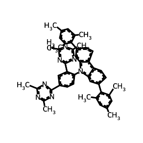 Cc1cc(C)c(-c2ccc3c4ccc(-c5c(C)cc(C)cc5C)cc4n(-c4ccc(-c5nc(C)nc(C)n5)cc4-c4nc(C)nc(C)n4)c3c2)c(C)c1